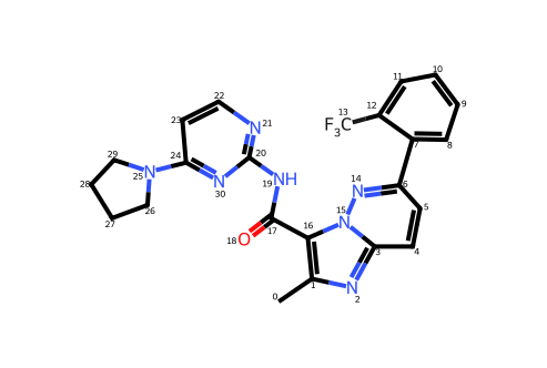 Cc1nc2ccc(-c3ccccc3C(F)(F)F)nn2c1C(=O)Nc1nccc(N2CCCC2)n1